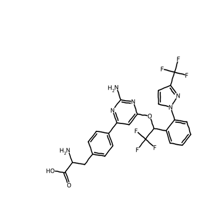 Nc1nc(OC(c2ccccc2-n2ccc(C(F)(F)F)n2)C(F)(F)F)cc(-c2ccc(CC(N)C(=O)O)cc2)n1